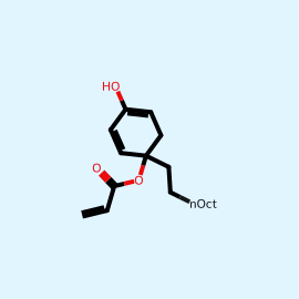 C=CC(=O)OC1(CCCCCCCCCC)C=CC(O)=CC1